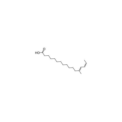 C/C=C\C=C(/C)CCCCCCCCCCCC(=O)O